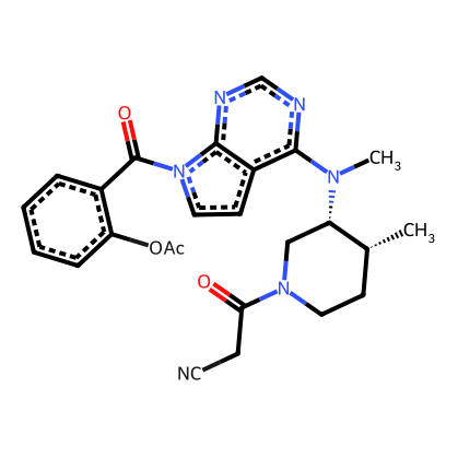 CC(=O)Oc1ccccc1C(=O)n1ccc2c(N(C)[C@H]3CN(C(=O)CC#N)CC[C@H]3C)ncnc21